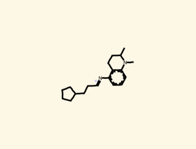 CC1CCc2c(/N=C/CCC3CCCC3)cccc2N1C